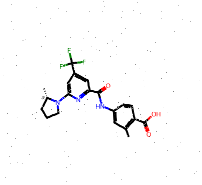 Cc1cc(NC(=O)c2cc(C(F)(F)F)cc(N3CCC[C@@H]3C)n2)ccc1C(=O)O